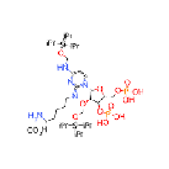 CC(C)[Si](OCNc1ccn([C@@H]2O[C@H](COP(=O)(O)O)[C@@H](OP(=O)(O)O)[C@H]2OCO[Si](C(C)C)(C(C)C)C(C)C)c(=NCCCCC(N)C(=O)O)n1)(C(C)C)C(C)C